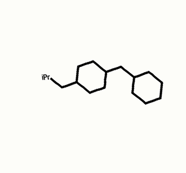 CC(C)CC1CCC(CC2CCCCC2)CC1